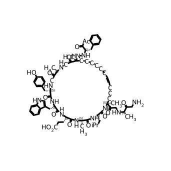 CC(=O)C(=O)[C@H](Cc1ccccc1)NN[C@]1(C)CCCCCCC=CCCC[C@@](C)(C(=O)CN[C@@H](C)C(=O)CN)NC(=O)[C@H](CC(C)C)NC(=O)[C@H](C)NC(=O)[C@H](CCC(=O)O)NC(=O)[C@H](Cc2c[nH]c3ccccc23)NC(=O)[C@H](Cc2ccc(O)cc2)NCC(=O)[C@H](C)NCC1=O